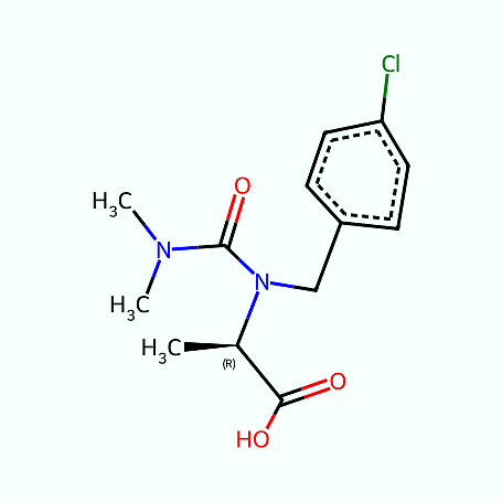 C[C@H](C(=O)O)N(Cc1ccc(Cl)cc1)C(=O)N(C)C